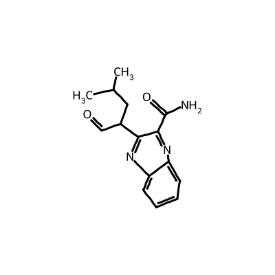 CC(C)CC(C=O)c1nc2ccccc2nc1C(N)=O